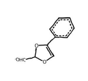 O=[C]C1OC=C(c2ccccc2)O1